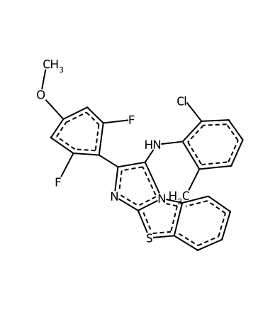 COc1cc(F)c(-c2nc3sc4ccccc4n3c2Nc2c(C)cccc2Cl)c(F)c1